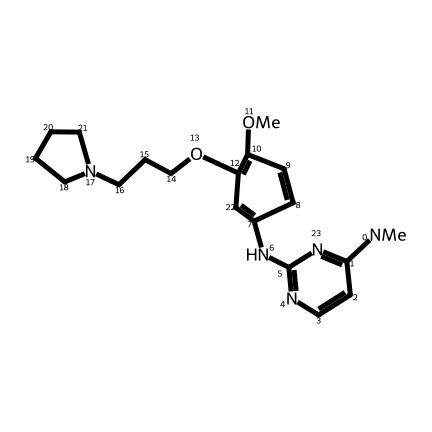 CNc1ccnc(Nc2ccc(OC)c(OCCCN3CCCC3)c2)n1